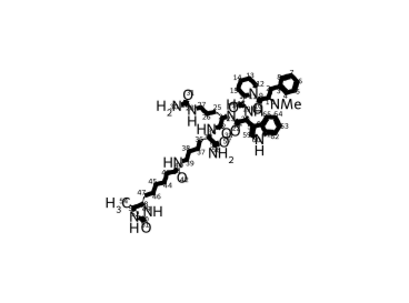 CN[C@@H](Cc1ccccc1)C(=O)N1CCCC[C@H]1C(=O)N[C@H](C(=O)N[C@@H](CCCNC(N)=O)C(=O)N[C@@H](CCCCNC(=O)CCCCC[C@@H]1NC(=O)N[C@@H]1C)C(N)=O)c1c[nH]c2ccccc12